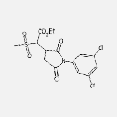 CCOC(=O)C(C1CC(=O)N(c2cc(Cl)cc(Cl)c2)C1=O)S(C)(=O)=O